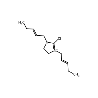 CC/C=C/CN1CC[N+](C/C=C/CC)=C1Cl